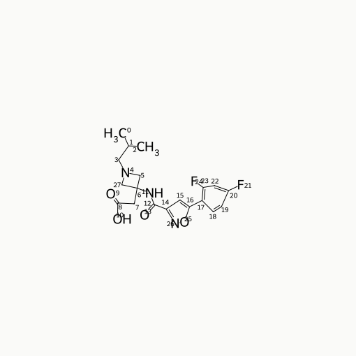 CC(C)CN1CC(CC(=O)O)(NC(=O)c2cc(-c3ccc(F)cc3F)on2)C1